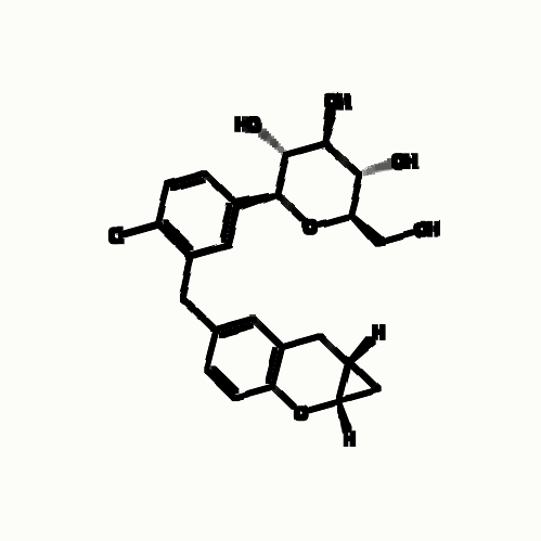 OC[C@H]1O[C@@H](c2ccc(Cl)c(Cc3ccc4c(c3)C[C@@H]3C[C@@H]3O4)c2)[C@H](O)[C@@H](O)[C@@H]1O